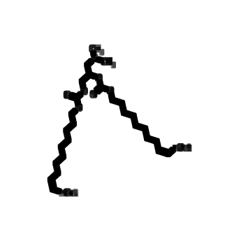 CCCCCCCC/C=C\CCCCCCCCOC(=O)OCC(CN(C)C)OC(=O)OCCCCCCCC/C=C\CCCCCCCC